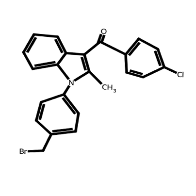 Cc1c(C(=O)c2ccc(Cl)cc2)c2ccccc2n1-c1ccc(CBr)cc1